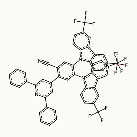 N#Cc1cc(-n2c3ccc(C(F)(F)F)cc3c3cc(C(F)(F)F)ccc32)c(-n2c3ccc(C(F)(F)F)cc3c3cc(C(F)(F)F)ccc32)cc1-c1cc(-c2ccccc2)nc(-c2ccccc2)c1